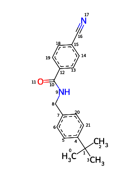 CC(C)(C)c1ccc(CNC(=O)c2ccc(C#N)cc2)cc1